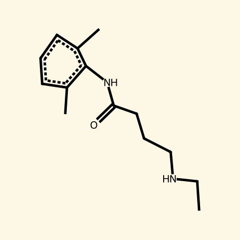 CCNCCCC(=O)Nc1c(C)cccc1C